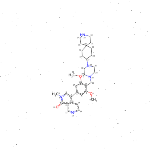 COc1cc(-c2cn(C)c(=O)c3cnccc23)cc(OC)c1CN1CCN(C2CCC3(CCNCC3)CC2)CC1